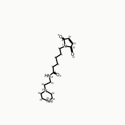 O=C(CCCCCN1C(=O)C=CC1=O)NCCN1CCNCC1